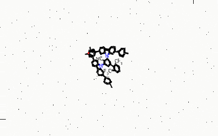 Cc1ccc(-c2ccc3c4ccc(-c5ccc(C)cc5)cc4n(-c4cc(-c5c(C(F)(F)F)cccc5C(F)(F)F)cc(-n5c6cc(-c7ccc(C)cc7)ccc6c6ccc(-c7ccc(C)cc7)cc65)c4C#N)c3c2)cc1